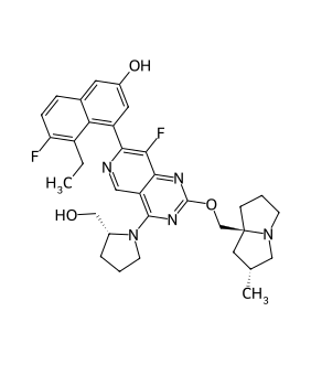 CCc1c(F)ccc2cc(O)cc(-c3ncc4c(N5CCC[C@@H]5CO)nc(OC[C@@]56CCCN5C[C@H](C)C6)nc4c3F)c12